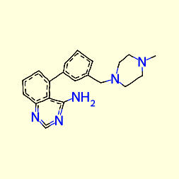 CN1CCN(Cc2cccc(-c3cccc4ncnc(N)c34)c2)CC1